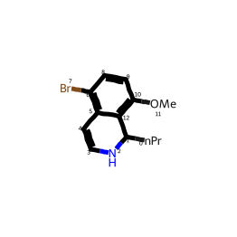 CCCC1NC=Cc2c(Br)ccc(OC)c21